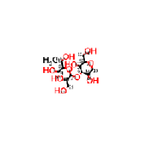 C[C@H](O)C(CO)OC(OC1C(O)C(CO)OC[C@H]1O)[C@@H](O)CO